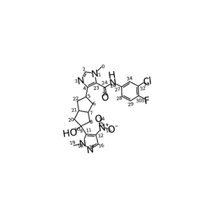 Cn1cnc(C2CC3CC(O)(c4c([N+](=O)[O-])cnn4C)CC3C2)c1C(=O)Nc1ccc(F)c(Cl)c1